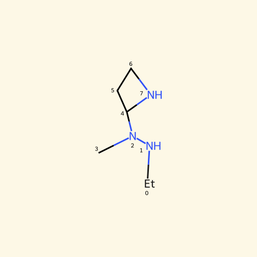 CCNN(C)C1CCN1